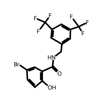 O=C(NCc1cc(C(F)(F)F)cc(C(F)(F)F)c1)c1cc(Br)ccc1O